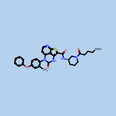 CNCCCC(=O)N1CCC[C@@H](NC(=O)c2sc3nccc4c3c2NC(=O)N4c2ccc(Oc3ccccc3)cc2C)C1